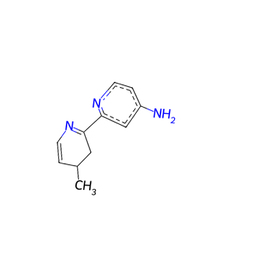 CC1C=CN=C(c2cc(N)ccn2)C1